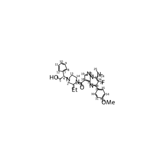 CCC1CN([C@@H](CO)c2ccccc2)CCN1C(=O)c1cnn2c(N(C)C)c(F)c(-c3ccc(OC)cc3)nc12